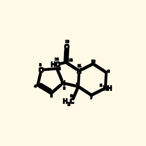 CC1(N2C=COC2)CNCCN1C(=O)O